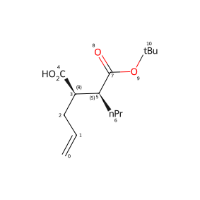 C=CC[C@@H](C(=O)O)[C@H](CCC)C(=O)OC(C)(C)C